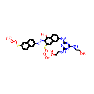 OCCNc1nc(NCCO)nc(Nc2ccc3c(O)c(/N=N/c4ccc5cc(SOOO)ccc5c4)c(SOOO)cc3c2)n1